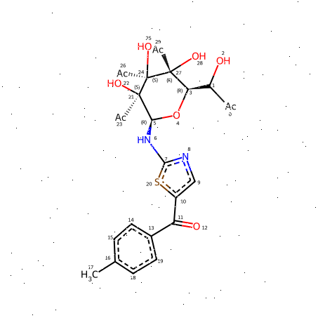 CC(=O)C(O)[C@H]1O[C@@H](Nc2ncc(C(=O)c3ccc(C)cc3)s2)[C@](O)(C(C)=O)[C@](O)(C(C)=O)[C@@]1(O)C(C)=O